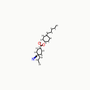 CCCCC[C@H]1CC[C@H](OC(=O)[C@H]2CC[C@](C#N)(CCC)CC2)CC1